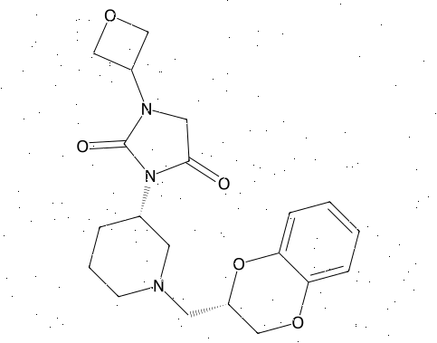 O=C1CN(C2COC2)C(=O)N1[C@H]1CCCN(C[C@H]2COc3ccccc3O2)C1